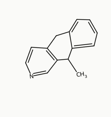 CC1c2ccccc2Cc2ccncc21